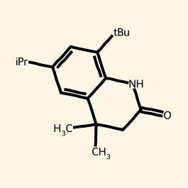 CC(C)c1cc(C(C)(C)C)c2c(c1)C(C)(C)CC(=O)N2